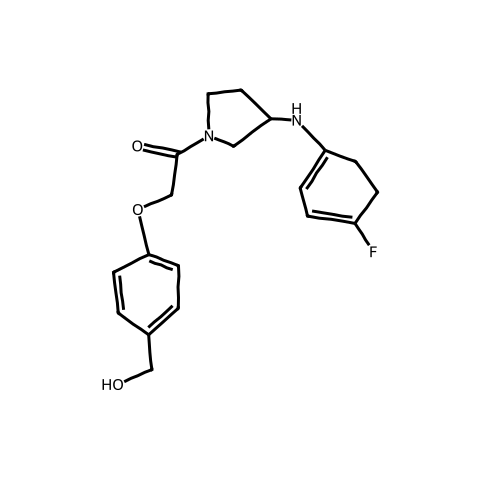 O=C(COc1ccc(CO)cc1)N1CCC(NC2=CC=C(F)CC2)C1